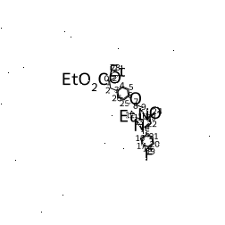 CCOC(=O)C(Cc1ccc(OCCn2c(CC)nc(-c3ccc(F)cc3)cc2=O)cc1)OCC